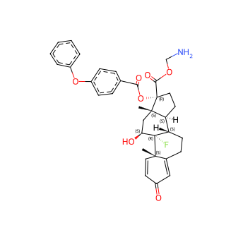 C[C@]12C=CC(=O)C=C1CC[C@H]1[C@@H]3CC[C@](OC(=O)c4ccc(Oc5ccccc5)cc4)(C(=O)OCN)[C@@]3(C)C[C@H](O)[C@@]12F